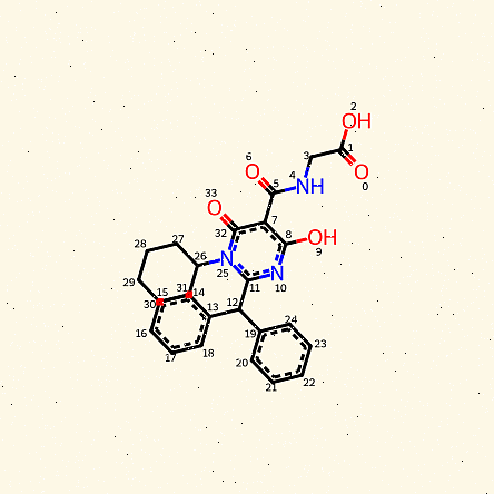 O=C(O)CNC(=O)c1c(O)nc(C(c2ccccc2)c2ccccc2)n(C2CCCCC2)c1=O